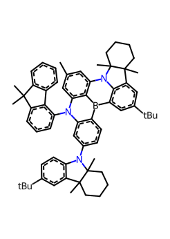 Cc1cc2c3c(c1)N1c4c(cc(C(C)(C)C)cc4C4(C)CCCCC14C)B3c1ccc(N3c4ccc(C(C)(C)C)cc4C4(C)CCCCC34C)cc1N2c1cccc2c1-c1ccccc1C2(C)C